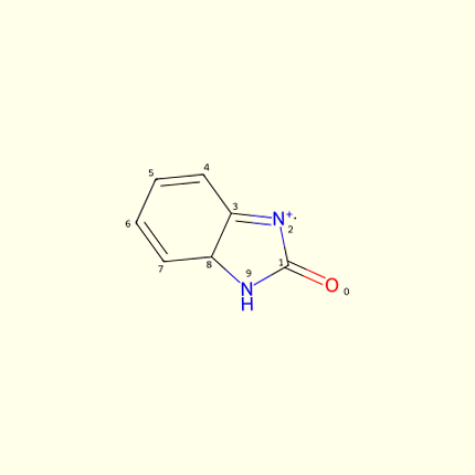 O=C1[N+]=C2C=CC=CC2N1